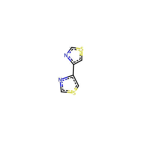 [c]1nc(-c2cscn2)cs1